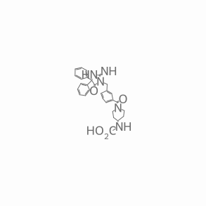 N=C1NC(c2ccccc2)(c2ccccc2)C(=O)N1Cc1cccc(C(=O)N2CCC(NC(=O)O)CC2)c1